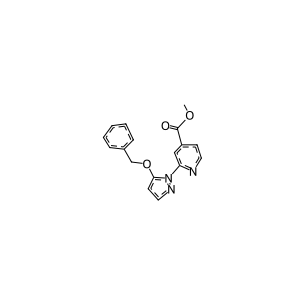 COC(=O)c1ccnc(-n2nccc2OCc2ccccc2)c1